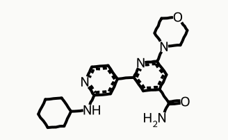 NC(=O)c1cc(-c2ccnc(NC3CCCCC3)c2)nc(N2CCOCC2)c1